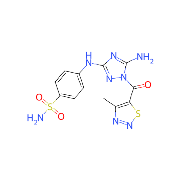 Cc1nnsc1C(=O)n1nc(Nc2ccc(S(N)(=O)=O)cc2)nc1N